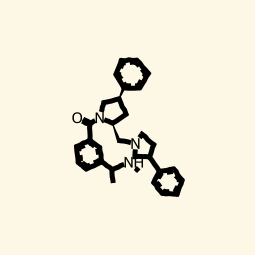 CNC(C)c1cccc(C(=O)N2C[C@@H](c3ccccc3)C[C@H]2CN2CCC(c3ccccc3)C2)c1